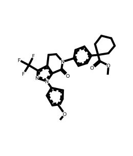 COC(=O)C1(c2ccc(N3CCc4c(C(F)(F)F)nn(-c5ccc(OC)cc5)c4C3=O)cc2)CCCCC1